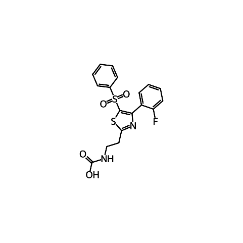 O=C(O)NCCc1nc(-c2ccccc2F)c(S(=O)(=O)c2ccccc2)s1